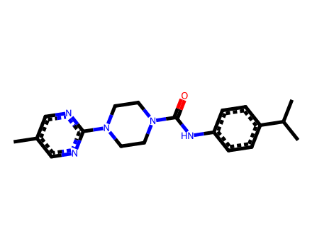 Cc1cnc(N2CCN(C(=O)Nc3ccc(C(C)C)cc3)CC2)nc1